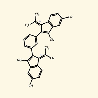 N#CC1=C(c2cccc(C3=C(C#N)c4cc(C#N)ccc4/C3=C(\C#N)C(F)(F)F)c2)/C(=C(/C#N)C(F)(F)F)c2ccc(C#N)cc21